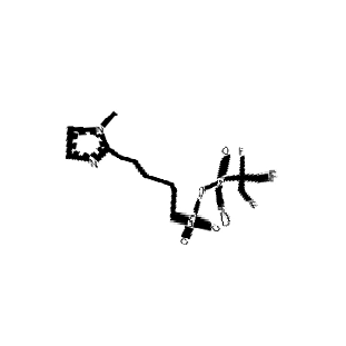 Cn1ccnc1CCCCS(=O)(=O)OS(=O)(=O)C(F)(F)F